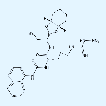 CC(C)C[C@H](NC(=O)[C@H](CCCNC(=N)N[N+](=O)[O-])NC(=O)Nc1cccc2ccccc12)B1O[C@H]2CCCC[C@H]2O1